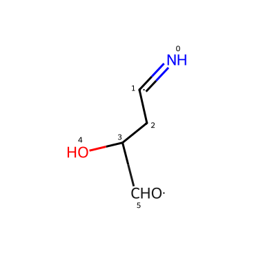 N=[C]CC(O)[C]=O